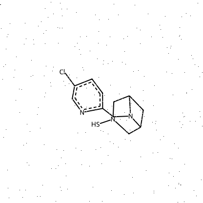 SN1CC2CC(C1)N2Cc1ccc(Cl)cn1